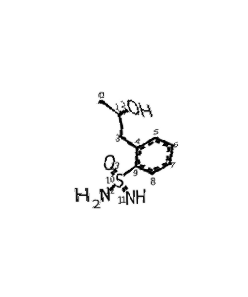 C[C@@H](O)Cc1ccccc1S(=N)(N)=O